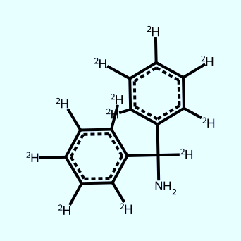 [2H]c1c([2H])c([2H])c(C([2H])(N)c2c([2H])c([2H])c([2H])c([2H])c2[2H])c([2H])c1[2H]